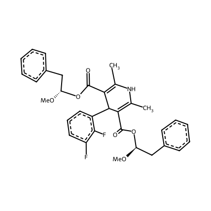 CO[C@H](Cc1ccccc1)OC(=O)C1=C(C)NC(C)=C(C(=O)O[C@@H](Cc2ccccc2)OC)C1c1cccc(F)c1F